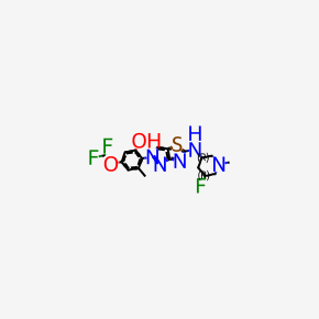 Cc1cc(OC(F)F)cc(O)c1-n1cc2sc(N[C@@H]3C[C@@H](F)CN(C)C3)nc2n1